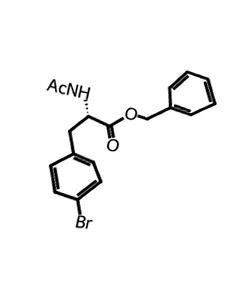 CC(=O)N[C@@H](Cc1ccc(Br)cc1)C(=O)OCc1ccccc1